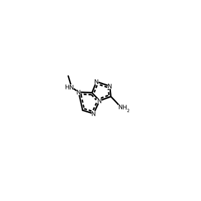 CNn1cnn2c(N)nnc12